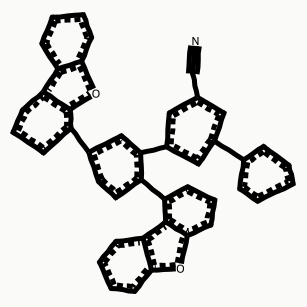 N#Cc1cc(-c2ccccc2)cc(-c2cc(-c3cccc4c3oc3ccccc34)ccc2-c2cccc3oc4ccccc4c23)c1